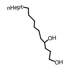 CCCCCCCCCCCCCC(O)CCCO